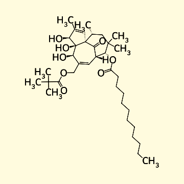 CCCCCCCCCCCC(=O)O[C@@H]1[C@@H]2C=C(COC(=O)C(C)(C)C)[C@@H](O)[C@]3(O)[C@@H](O)C(C)=C[C@@]3(C2=O)[C@H](C)CC1(C)C